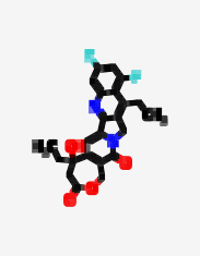 CCc1c2c(nc3cc(F)cc(F)c13)-c1cc3c(c(=O)n1C2)COC(=O)C[C@]3(O)CC